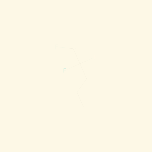 CCCC(F)(F)[CH]F